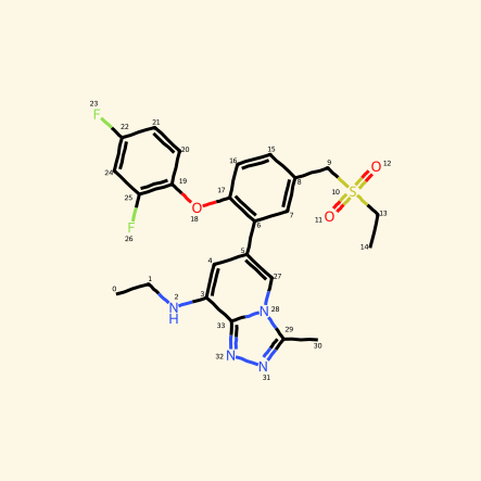 CCNc1cc(-c2cc(CS(=O)(=O)CC)ccc2Oc2ccc(F)cc2F)cn2c(C)nnc12